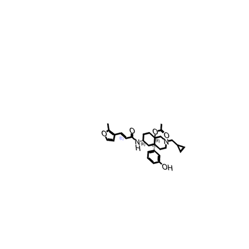 CC(=O)O[C@]12CC[C@@H](NC(=O)/C=C/c3ccoc3C)C[C@]1(c1cccc(O)c1)CCN(CC1CC1)C2